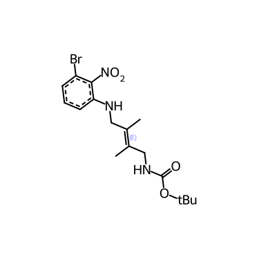 C/C(CNC(=O)OC(C)(C)C)=C(/C)CNc1cccc(Br)c1[N+](=O)[O-]